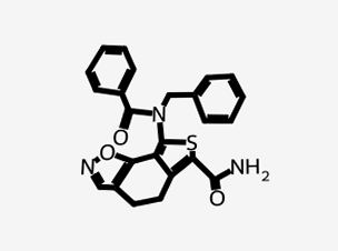 NC(=O)c1sc(N(Cc2ccccc2)C(=O)c2ccccc2)c2c1CCc1cnoc1-2